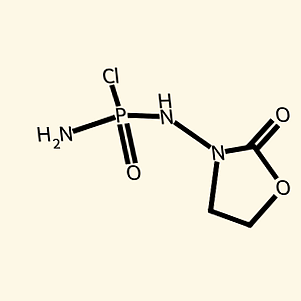 NP(=O)(Cl)NN1CCOC1=O